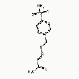 CC(=O)/C=N/OCc1ccc(S(N)(=O)=O)cc1